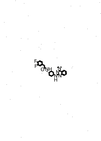 CN(C)c1nc(N[C@H]2CC[C@@H](CNC(=O)Cc3ccc(F)c(F)c3)CC2)nc2ccccc12